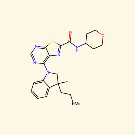 CNCCC1(C)CN(c2ncnc3sc(C(=O)NC4CCOCC4)nc23)c2ccccc21